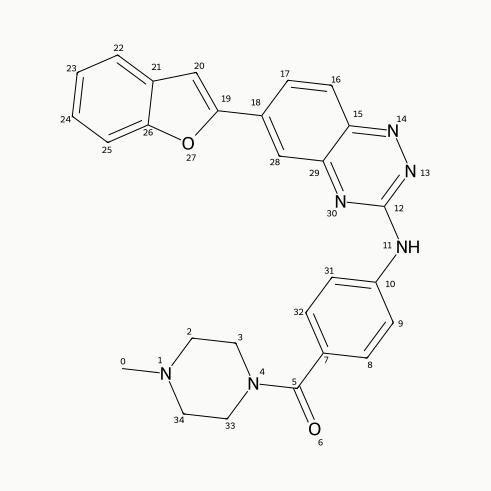 CN1CCN(C(=O)c2ccc(Nc3nnc4ccc(-c5cc6ccccc6o5)cc4n3)cc2)CC1